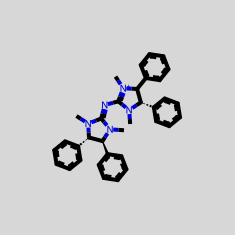 CN1C(N=C2N(C)[C@@H](c3ccccc3)[C@H](c3ccccc3)N2C)=[N+](C)C(c2ccccc2)[C@@H]1c1ccccc1